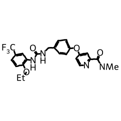 CCOc1ccc(C(F)(F)F)cc1NC(=O)NCc1ccc(Oc2ccnc(C(=O)NC)c2)cc1